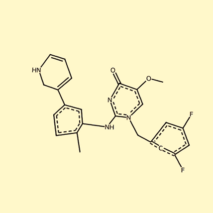 COc1cn(Cc2cc(F)cc(F)c2)c(Nc2cc(C3=CC=CNC3)ccc2C)nc1=O